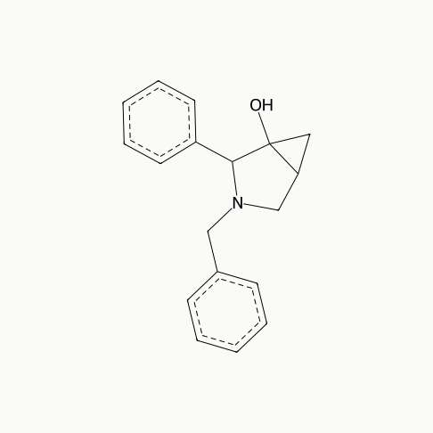 OC12CC1CN(Cc1ccccc1)C2c1ccccc1